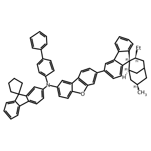 CC[C@H]1CC2C[C@@H](C)C[C@H](C2)[C@@]12c1ccccc1-c1cc(-c3ccc4c(c3)oc3ccc(N(c5ccc(-c6ccccc6)cc5)c5ccc6c(c5)C5(CCCC5)c5ccccc5-6)cc34)ccc12